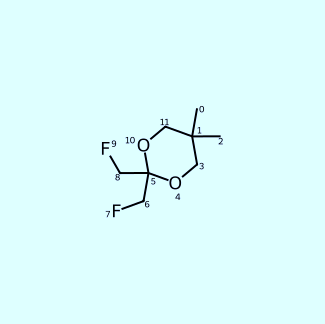 CC1(C)COC(CF)(CF)OC1